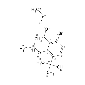 COCOCc1c(Br)ccc(C(C)(C)C)c1O[SiH](C)C